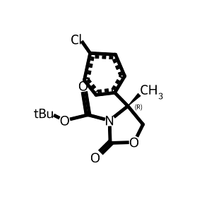 CC(C)(C)OC(=O)N1C(=O)OC[C@@]1(C)c1ccc(Cl)cc1